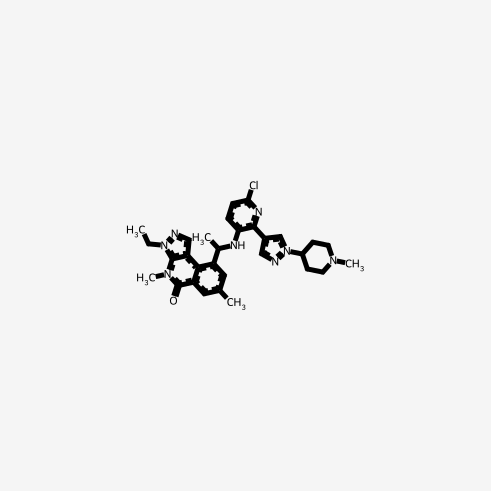 CCn1ncc2c3c(C(C)Nc4ccc(Cl)nc4-c4cnn(C5CCN(C)CC5)c4)cc(C)cc3c(=O)n(C)c21